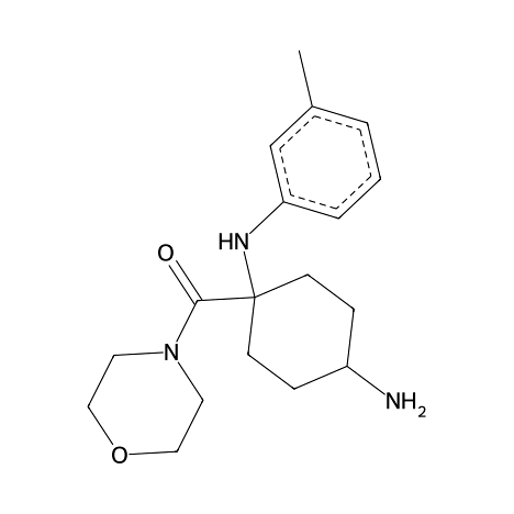 Cc1cccc(NC2(C(=O)N3CCOCC3)CCC(N)CC2)c1